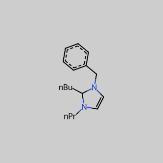 CCCCC1N(CCC)C=CN1Cc1ccccc1